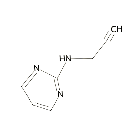 C#CCNc1ncccn1